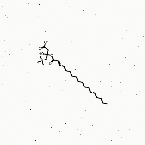 CCCCCCCCCCCCCCCC=CC(=O)OC(O)(CC(=O)[O-])C[N+](C)(C)C